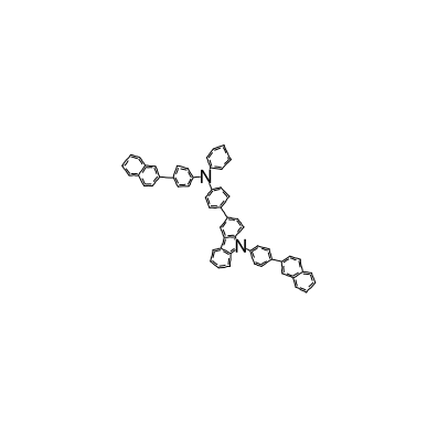 c1ccc(N(c2ccc(-c3ccc4ccccc4c3)cc2)c2ccc(-c3ccc4c(c3)c3ccccc3n4-c3ccc(-c4ccc5ccccc5c4)cc3)cc2)cc1